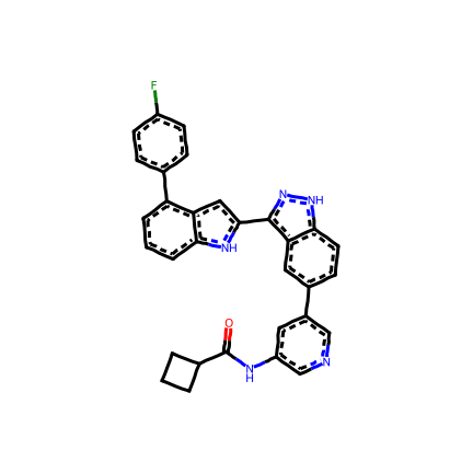 O=C(Nc1cncc(-c2ccc3[nH]nc(-c4cc5c(-c6ccc(F)cc6)cccc5[nH]4)c3c2)c1)C1CCC1